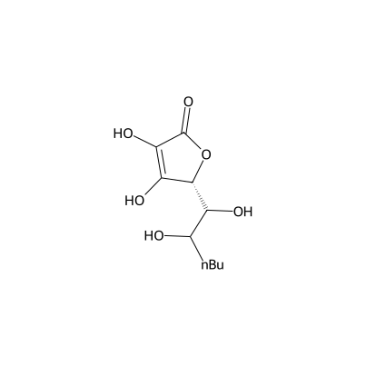 CCCCC(O)C(O)[C@H]1OC(=O)C(O)=C1O